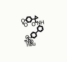 CCCCN(C)S(=O)(=O)c1ccc(-c2cccc(NC(=O)C3(c4ccc5c(c4)OCO5)CC3)c2)cc1